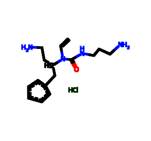 C=CN(C(=O)NCCCN)[SiH](CCN)Cc1ccccc1.Cl